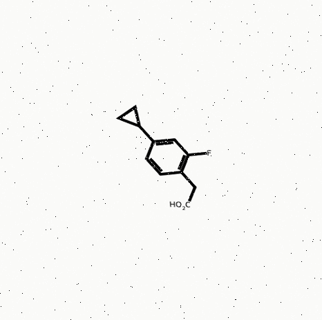 O=C(O)Cc1ccc(C2CC2)cc1F